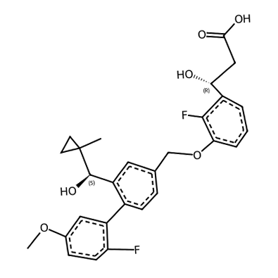 COc1ccc(F)c(-c2ccc(COc3cccc([C@H](O)CC(=O)O)c3F)cc2[C@@H](O)C2(C)CC2)c1